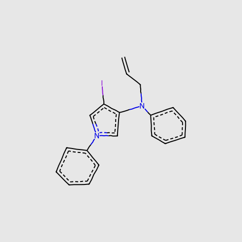 C=CCN(c1ccccc1)c1cn(-c2ccccc2)cc1I